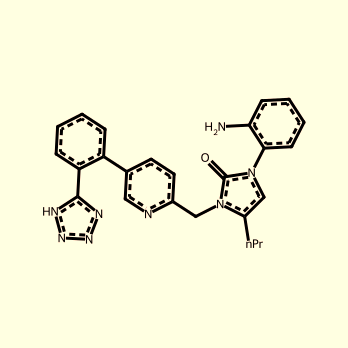 CCCc1cn(-c2ccccc2N)c(=O)n1Cc1ccc(-c2ccccc2-c2nnn[nH]2)cn1